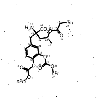 CCCOC(=O)Oc1ccc(CC(N)(C[C@H](C)OC(=O)CC(C)CC)C(=O)O)cc1OC(=O)OCCC